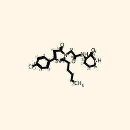 CCCCCc1nc(-c2ccc(Cl)cc2)cc(=O)n1CC(=O)NC1CCCNC1=O